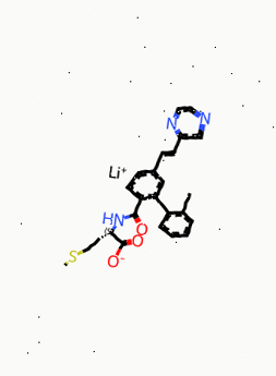 CSCC[C@H](NC(=O)c1ccc(C=Cc2cnccn2)cc1-c1ccccc1C)C(=O)[O-].[Li+]